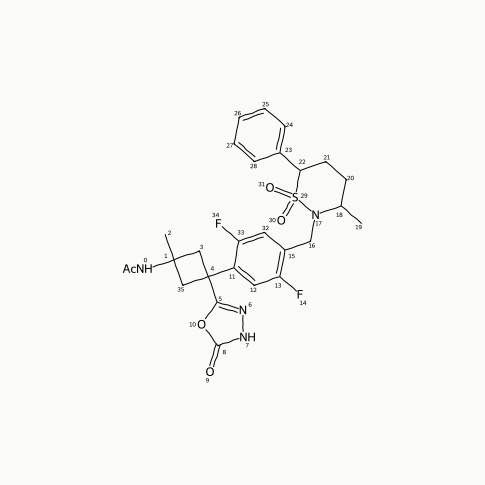 CC(=O)NC1(C)CC(c2n[nH]c(=O)o2)(c2cc(F)c(CN3C(C)CCC(c4ccccc4)S3(=O)=O)cc2F)C1